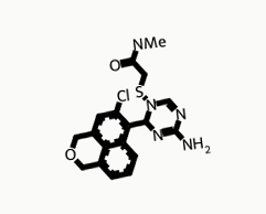 CNC(=O)CSN1C=NC(N)=NC1c1c(Cl)cc2c3c(cccc13)COC2